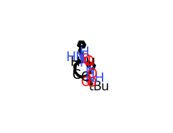 CC(C)(C)OC(=O)N[C@H]1CCCCC/C=C\[C@@H]2C[C@@]2(C(=O)NCCc2ccccc2)NC(=O)[C@@H]2CCCN2C1=O